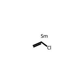 C=CCl.[Sm]